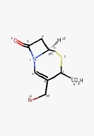 O=C(O)C1S[C@@H]2CC(=O)N2C=C1CBr